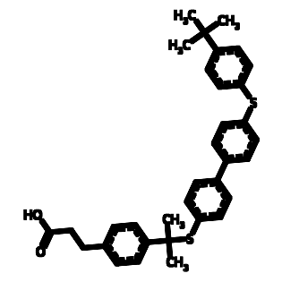 CC(C)(C)c1ccc(Sc2ccc(-c3ccc(SC(C)(C)c4ccc(CCC(=O)O)cc4)cc3)cc2)cc1